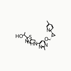 Cc1ccc([C@H]2C[C@@H]2COc2cc(NCc3nnc(C(C)O)s3)nc(C)n2)nc1